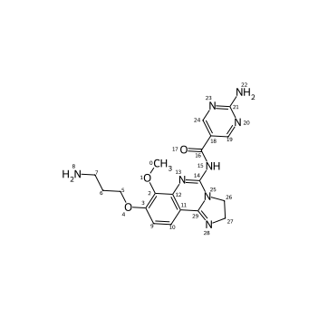 COc1c(OCCCN)ccc2c1N=C(NC(=O)c1cnc(N)nc1)N1CCN=C21